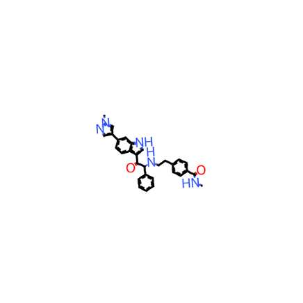 CNC(=O)c1ccc(CCN[C@H](C(=O)c2c[nH]c3cc(-c4cnn(C)c4)ccc23)c2ccccc2)cc1